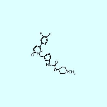 CN1CCC(OC(=O)Nc2cccc(Cn3nc(-c4ccc(F)c(F)c4)ccc3=O)c2)CC1